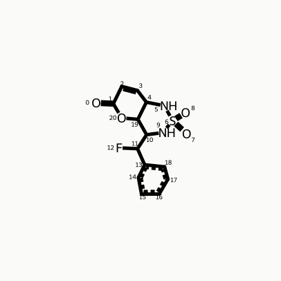 O=C1C=CC2NS(=O)(=O)NC(C(F)c3ccccc3)C2O1